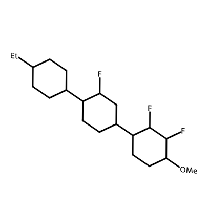 CCC1CCC(C2CCC(C3CCC(OC)C(F)C3F)CC2F)CC1